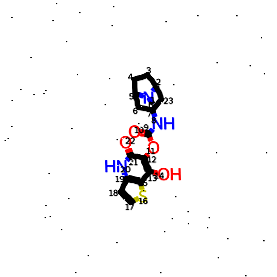 CN1C2CCC1CC(NC(=O)Oc1c(O)c3sccc3[nH]c1=O)C2